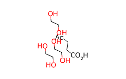 CC(=O)CCC(=O)O.OCCO.OCCO.OCCO